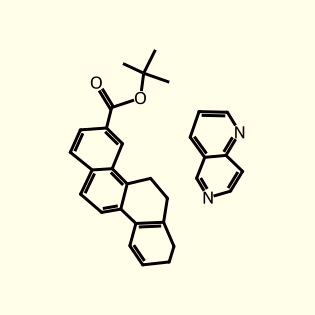 CC(C)(C)OC(=O)c1ccc2ccc3c(c2c1)CCC1=C3C=CCC1.c1cnc2ccncc2c1